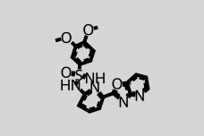 COc1ccc(S(=N)(=O)Nc2cccc(-c3nc4ncccc4o3)n2)cc1OC